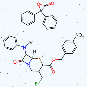 CC(=O)N(c1ccccc1)C1C(=O)N2C=C(CBr)C(C(=O)OCc3ccc([N+](=O)[O-])cc3)S[C@H]12.O=C1OC1(c1ccccc1)c1ccccc1